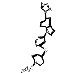 CCOC(=O)N1CCC(Oc2cc(N3C=CC4=CC(n5cnnn5)=CCC43)ncn2)CC1